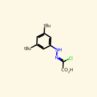 CC(C)(C)c1cc(NN=C(Cl)C(=O)O)cc(C(C)(C)C)c1